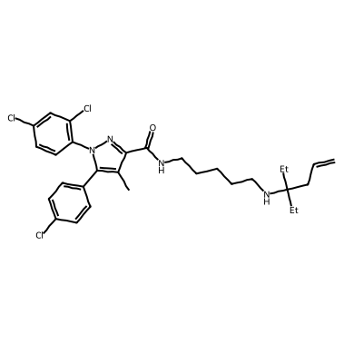 C=CCC(CC)(CC)NCCCCCNC(=O)c1nn(-c2ccc(Cl)cc2Cl)c(-c2ccc(Cl)cc2)c1C